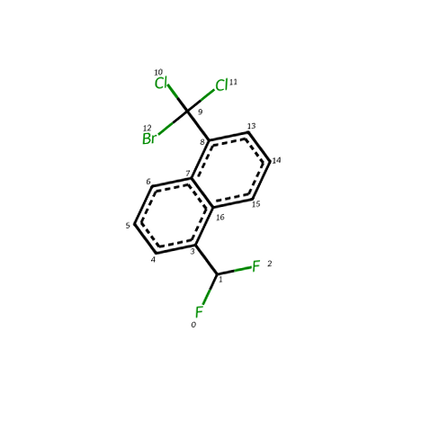 FC(F)c1cccc2c(C(Cl)(Cl)Br)cccc12